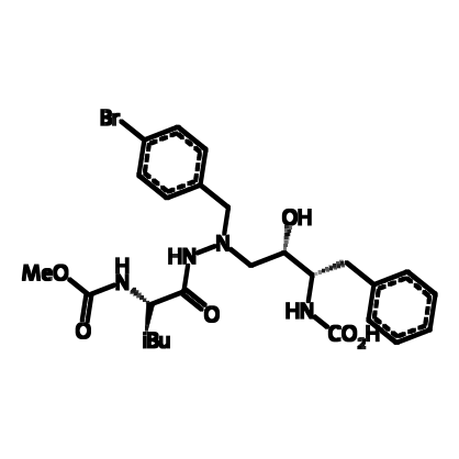 CC[C@H](C)[C@H](NC(=O)OC)C(=O)NN(Cc1ccc(Br)cc1)C[C@H](O)[C@H](Cc1ccccc1)NC(=O)O